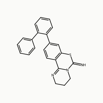 N=C1Sc2cc(-c3ccccc3-c3ccccc3)ccc2C2=NCCCN12